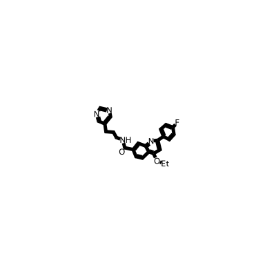 CCOc1cc(-c2ccc(F)cc2)nc2cc(C(=O)NCCCc3cncnc3)ccc12